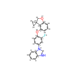 Fc1cc(N2CNc3ccccc32)ccc1Oc1cccc2c1C1(CC1)CO2